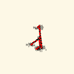 C=C(CC)NC(=N)NCCCCCCCCCCN(CCCCCCCCCCNC(=N)N)C(=O)N(CCCCCCCCCCNC(=N)N)CCCCCCCCCCNC(=N)NC(=C)CC